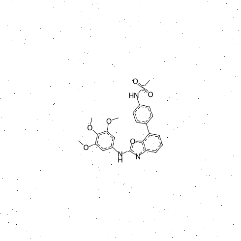 COc1cc(Nc2nc3cccc(-c4ccc(NS(C)(=O)=O)cc4)c3o2)cc(OC)c1OC